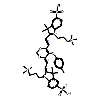 Cc1ccc(OC2=C(/C=C/C3=[N+](CCC[N+](C)(C)C)c4ccc(S(=O)(=O)O)cc4C3(C)C)OCO/C2=C\C=C2\N(CCC[N+](C)(C)C)c3ccc(S(=O)(=O)O)cc3C2(C)C)cc1